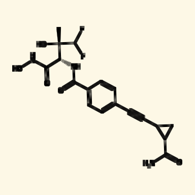 C[C@@](O)(C(F)F)[C@H](NC(=O)c1ccc(C#CC2CC2C(N)=O)cc1)C(=O)NO